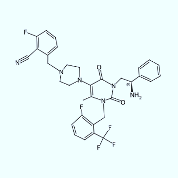 Cc1c(N2CCN(Cc3cccc(F)c3C#N)CC2)c(=O)n(C[C@H](N)c2ccccc2)c(=O)n1Cc1c(F)cccc1C(F)(F)F